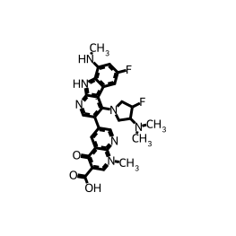 CNc1cc(F)cc2c1[nH]c1ncc(-c3cnc4c(c3)c(=O)c(C(=O)O)cn4C)c(N3CC(F)C(N(C)C)C3)c12